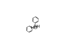 Cl.c1cc[c]([BiH][c]2ccccc2)cc1